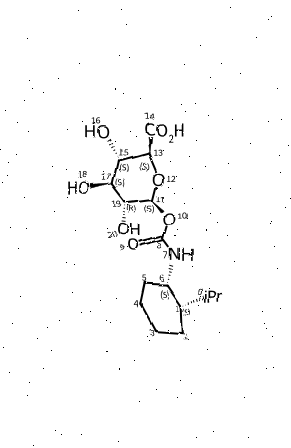 CC(C)[C@@H]1CCCC[C@@H]1NC(=O)O[C@@H]1O[C@H](C(=O)O)[C@@H](O)[C@H](O)[C@H]1O